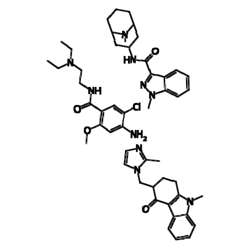 CCN(CC)CCNC(=O)c1cc(Cl)c(N)cc1OC.CN1C2CCCC1CC(NC(=O)c1nn(C)c3ccccc13)C2.Cc1nccn1CC1CCc2c(c3ccccc3n2C)C1=O